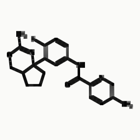 NC1=NC2(c3cc(NC(=O)c4ccc(N)cn4)ccc3F)CCCC2CO1